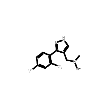 CCCN(C)Cc1c[nH]nc1-c1ccc(C(F)(F)F)cc1C(F)(F)F